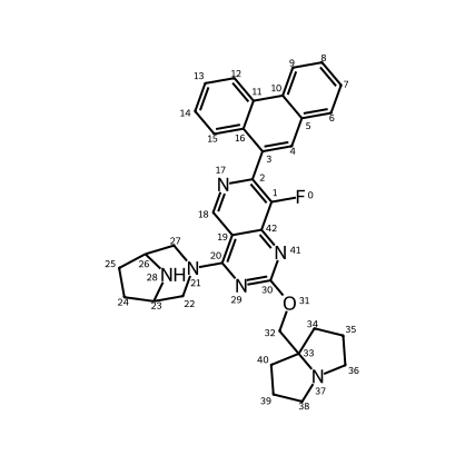 Fc1c(-c2cc3ccccc3c3ccccc23)ncc2c(N3CC4CCC(C3)N4)nc(OCC34CCCN3CCC4)nc12